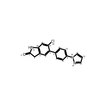 O=C1Cc2cc(-c3ccc(-n4cccn4)cc3)c(Cl)cc2N1